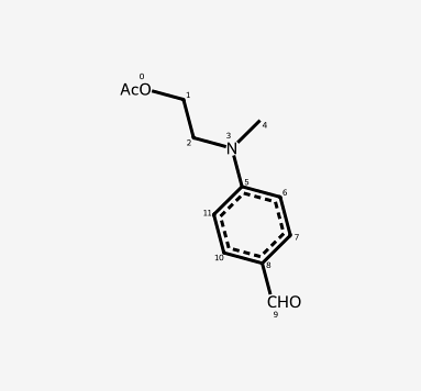 CC(=O)OCCN(C)c1ccc(C=O)cc1